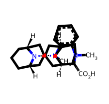 CN(CC(=O)O)c1ccccc1N(C)[C@H]1C[C@H]2CCC[C@@H](C1)N2[C@H]1C[C@@H]2CCC[C@@H](C2)C1